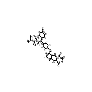 [2H]NC(=O)C1(C(=O)N(c2ccc(F)cc2)c2ccc(Oc3ccnc4cc(OC)c(C(=O)NC)cc34)cc2)CC1